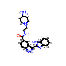 NC1CCN(CCNC(=O)c2ccc3[nH]nc(-c4nc5ccccc5[nH]4)c3c2)CC1